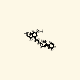 Oc1cc(C=CCN2CC=C(c3ccccc3)CC2)c2cc[nH]c2c1